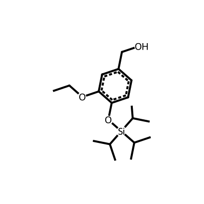 CCOc1cc(CO)ccc1O[Si](C(C)C)(C(C)C)C(C)C